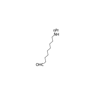 CCCNCCCCCCCCC=O